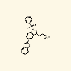 Cl.NCCc1cn(S(=O)(=O)c2ccccc2)c2ccc(-c3cc4ccccc4s3)cc12